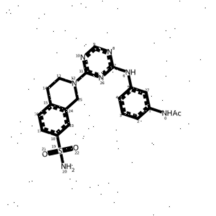 CC(=O)Nc1cccc(Nc2ncnc(N3CCc4ccc(S(N)(=O)=O)cc4C3)n2)c1